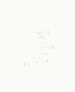 O=C1c2cc(CO)cc(O)c2C(=O)c2c(O)cc(OS(=O)(=O)O)cc21